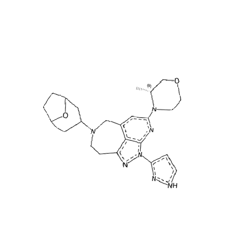 C[C@@H]1COCCN1c1cc2c3c(nn(-c4cc[nH]n4)c3n1)CCN(C1CC3CCC(C1)O3)C2